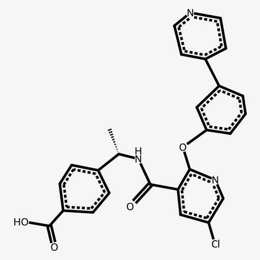 C[C@H](NC(=O)c1cc(Cl)cnc1Oc1cccc(-c2ccncc2)c1)c1ccc(C(=O)O)cc1